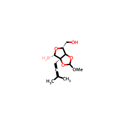 B[C@@H]1O[C@H](CO)C2OC(OC)O[C@]21C=C=C(C)C